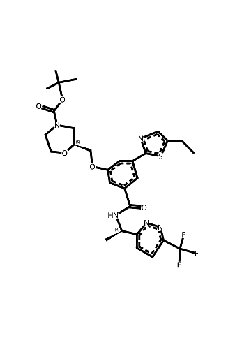 CCc1cnc(-c2cc(OC[C@@H]3CN(C(=O)OC(C)(C)C)CCO3)cc(C(=O)N[C@H](C)c3ccc(C(F)(F)F)nn3)c2)s1